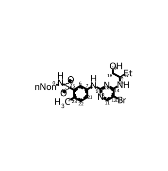 CCCCCCCCCNS(=O)(=O)c1cc(Nc2ncc(Br)c(N[C@H](CC)CO)n2)ccc1C